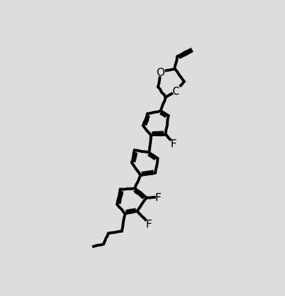 C=CC1CCC(c2ccc(-c3ccc(-c4ccc(CCCC)c(F)c4F)cc3)c(F)c2)CO1